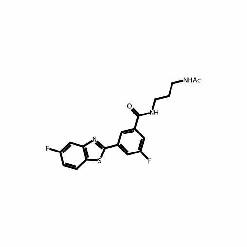 CC(=O)NCCCNC(=O)c1cc(F)cc(-c2nc3cc(F)ccc3s2)c1